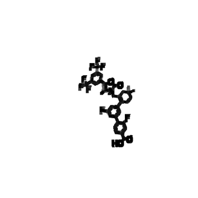 C[C@H]1[C@@H](c2cc(C(F)(F)F)cc(C(F)(F)F)c2)OC(=O)N1CC1=C(c2cc(F)cc(-c3ccc(C(=O)O)cc3F)c2)CCC(C)(C)C1